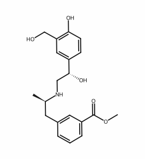 COC(=O)c1cccc(C[C@@H](C)NC[C@@H](O)c2ccc(O)c(CO)c2)c1